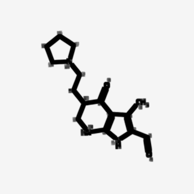 Cc1c(C=O)[nH]c2c1C(=O)C(CCN1CCCC1)CN2